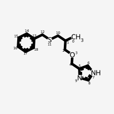 CC(COCc1c[nH]cn1)CSCc1ccccc1